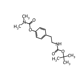 CN(C)C(=O)Oc1ccc(CCNC(=O)OC(C)(C)C)cc1